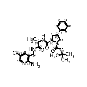 C[C@H](NC(=O)[C@H]1C[C@H](c2ccccc2)CN1C(=O)OC(C)(C)C)C(=O)NCc1cc(Cl)cnc1N